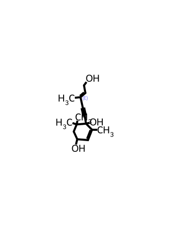 CC1=CC(O)CC(C)(C)C1(O)C#C/C(C)=C/CO